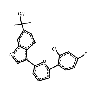 CC(C)(O)c1ccc2c(c1)ncn2-c1cccc(-c2ccc(F)cc2Cl)n1